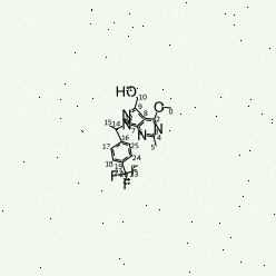 COc1nc(C)nc2c1c(CO)nn2C(C)c1ccc(C(F)(F)F)cc1